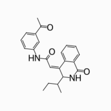 CCC(C)C1NC(=O)c2ccccc2C1=CC(=O)Nc1cccc(C(C)=O)c1